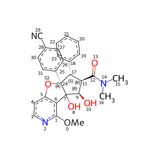 COc1nccc2c1C1(O)[C@H](O)[C@H](C(=O)N(C)C)[C@@H](c3ccccc3)[C@]1(c1ccc(C#N)cc1)O2